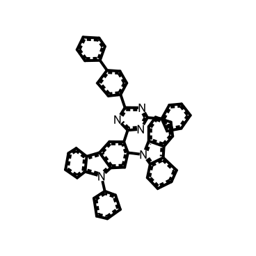 c1ccc(-c2ccc(-c3nc(-c4ccccc4)nc(-c4cc5c6ccccc6n(-c6ccccc6)c5cc4-n4c5ccccc5c5ccccc54)n3)cc2)cc1